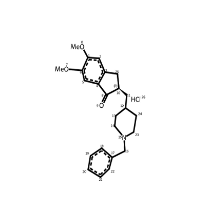 COc1cc2c(cc1OC)C(=O)[C@H](CC1CCN(Cc3ccccc3)CC1)C2.Cl